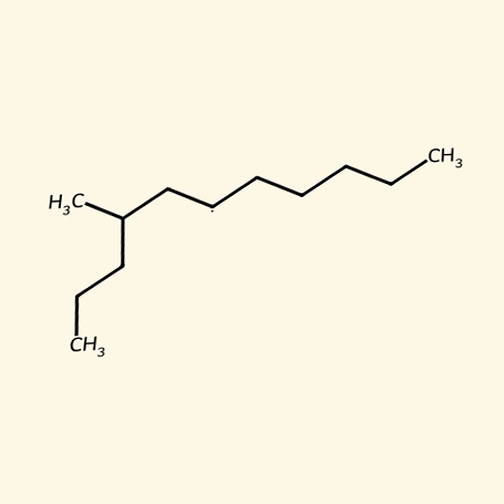 CCCCC[CH]CC(C)CCC